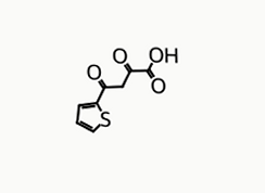 O=C(O)C(=O)CC(=O)c1cccs1